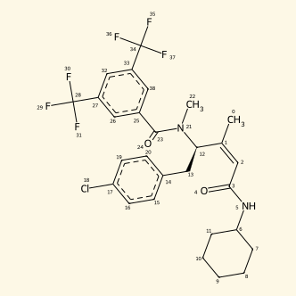 CC(=CC(=O)NC1CCCCC1)[C@@H](Cc1ccc(Cl)cc1)N(C)C(=O)c1cc(C(F)(F)F)cc(C(F)(F)F)c1